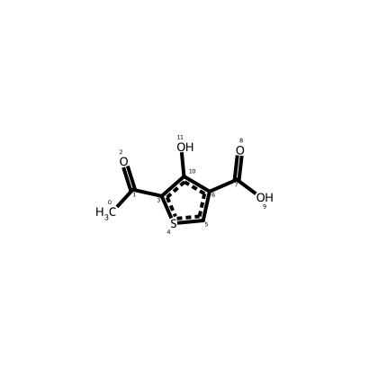 CC(=O)c1scc(C(=O)O)c1O